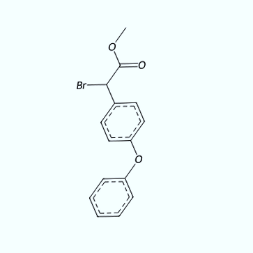 COC(=O)C(Br)c1ccc(Oc2ccccc2)cc1